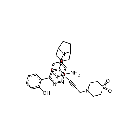 Nc1nnc(-c2ccccc2O)cc1N1CC2CCC(C1)N2c1ccnc(C#CCN2CCS(=O)(=O)CC2)c1